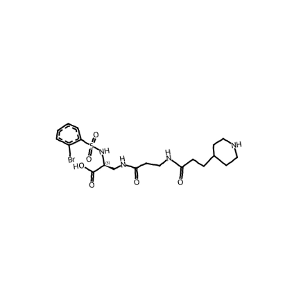 O=C(CCC1CCNCC1)NCCC(=O)NC[C@H](NS(=O)(=O)c1ccccc1Br)C(=O)O